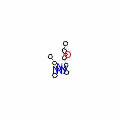 c1ccc(-c2ccc(-c3nc(-c4ccccc4)nc(-n4c5ccccc5c5ccc(-c6ccc7c(c6)oc6cc(-c8ccccc8)ccc67)cc54)n3)cc2)cc1